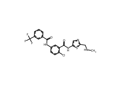 CNCc1ncc(NC(=O)c2cc(NC(=O)c3cccc(C(F)(F)F)c3)ccc2Cl)s1